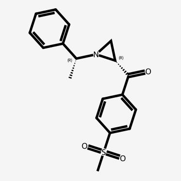 C[C@H](c1ccccc1)N1C[C@@H]1C(=O)c1ccc(S(C)(=O)=O)cc1